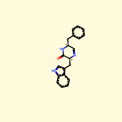 O=C1N[C@@H](Cc2ccccc2)C=N[C@H]1Cc1c[nH]c2ccccc12